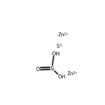 O=[Si](O)O.[S-2].[Zn+2].[Zn+2]